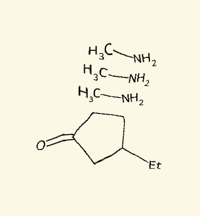 CCC1CCC(=O)C1.CN.CN.CN